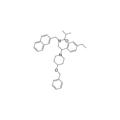 CCc1ccc(C(CN(Cc2ccc3ccccc3c2)C(=O)C(C)C)N2CCC(OCc3ccccc3)CC2)cc1